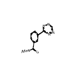 CNC(=O)c1cccc(-c2nncnn2)c1